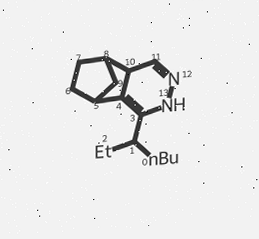 CCCCC(CC)C1=C2C3CCC(C3)C2C=NN1